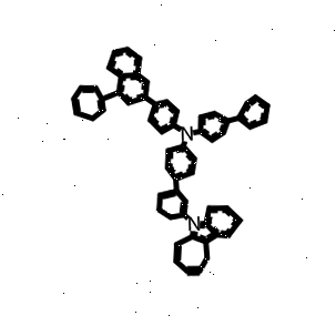 C1#CCc2c(n(C3=CC(c4ccc(N(c5ccc(-c6ccccc6)cc5)c5ccc(-c6cc(C7=CCC=CC=C7)c7ccccc7c6)cc5)cc4)=CCC3)c3ccccc23)C=C1